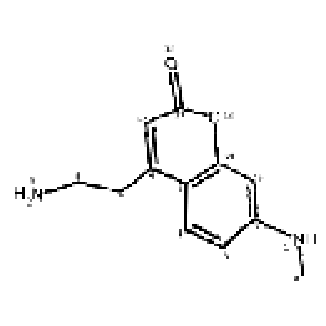 CNc1ccc2c(CCN)cc(=O)oc2c1